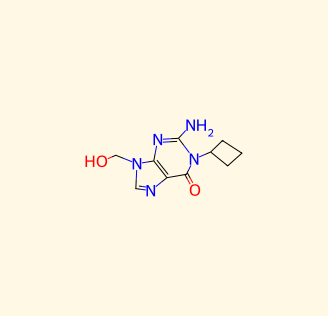 Nc1nc2c(ncn2CO)c(=O)n1C1CCC1